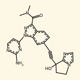 CN(C)C(=O)c1nn(-c2ccnc(N)n2)c2cc(C#CC3(O)CCn4ccnc43)ccc12